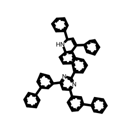 C1=C(c2ccccc2)c2c(ccc3c(-c4nc(-c5cccc(-c6ccccc6)c5)cc(-c5cccc(-c6ccccc6)c5)n4)cccc23)NC1c1ccccc1